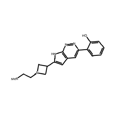 CNCCN1CC(c2cc3cc(-c4ccccc4O)nnc3[nH]2)C1